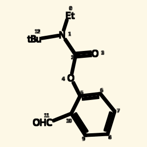 CCN(C(=O)Oc1ccccc1C=O)C(C)(C)C